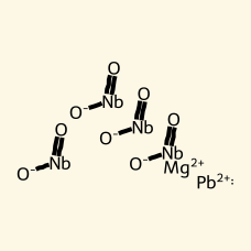 [Mg+2].[O]=[Nb][O-].[O]=[Nb][O-].[O]=[Nb][O-].[O]=[Nb][O-].[Pb+2]